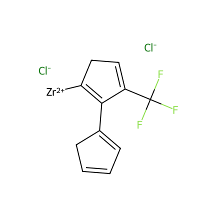 FC(F)(F)C1=CC[C]([Zr+2])=C1C1=CC=CC1.[Cl-].[Cl-]